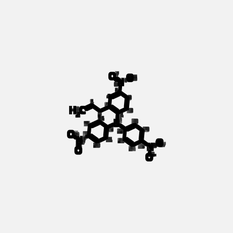 C=CCc1cc([N+](=O)[O-])ccc1B(c1ccc([N+](=O)[O-])cc1)c1ccc([N+](=O)[O-])cc1